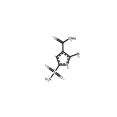 COC(=O)c1cc(S(N)(=O)=O)sc1Br